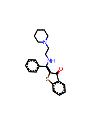 O=C1C(=C(NCCN2CCCCC2)c2ccccc2)Sc2ccccc21